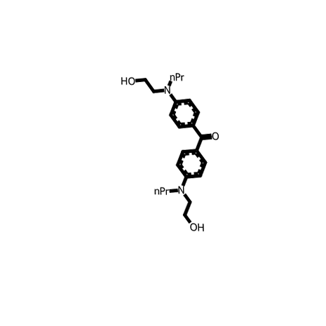 CCCN(CCO)c1ccc(C(=O)c2ccc(N(CCC)CCO)cc2)cc1